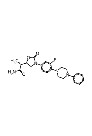 C[C@H](C(N)=O)C1CN(c2ccc(N3CCN(c4ccccc4)CC3)c(F)c2)C(=O)O1